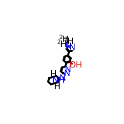 [2H]C([2H])([2H])n1cc(-c2ccc(-c3ccc(N(C)C4C[C@H]5CCC[C@@H](C4)N5)nn3)c(O)c2)cn1